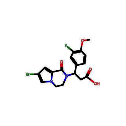 COc1ccc(C(CC(=O)O)N2CCn3cc(Br)cc3C2=O)cc1F